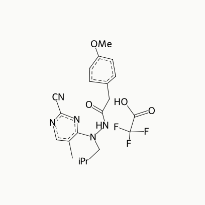 COc1ccc(CC(=O)NN(CC(C)C)c2nc(C#N)ncc2C)cc1.O=C(O)C(F)(F)F